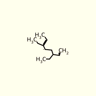 C=CC(CC)C[CH]C(=CC)CC